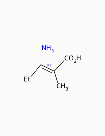 CC/C=C(\C)C(=O)O.N